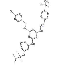 CC(F)(F)c1ccc(/C=N/Nc2nc(NCc3ccc(Cl)nc3)nc(Nc3cccc(OC(F)(F)C(F)F)c3)n2)cc1